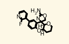 NC1=NC2(CO1)c1cc(-c3cccnc3F)ccc1O[C@H]1CCCO[C@@H]12